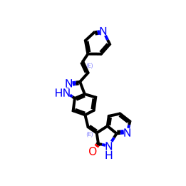 O=C1Nc2ncccc2/C1=C\c1ccc2c(/C=C/c3ccncc3)n[nH]c2c1